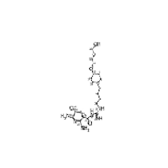 N=C(NCCCCC1CCC(OCCOCO)CC1)NC(=O)c1nc(Cl)c(N)nc1N